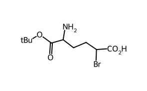 CC(C)(C)OC(=O)C(N)CCC(Br)C(=O)O